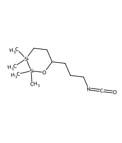 C[Si]1(C)CCC(CCCN=C=O)O[Si]1(C)C